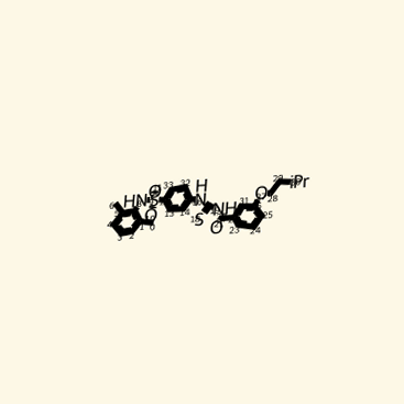 Cc1cccc(C)c1NS(=O)(=O)c1ccc(NC(=S)NC(=O)c2cccc(OCCC(C)C)c2)cc1